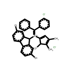 CCc1ccc2c(c1)[CH]([Zr+2]([C]1=CC(C)=C(C)C1C)=[C](c1ccccc1)c1ccccc1)c1cc(CC)ccc1-2.[Cl-].[Cl-]